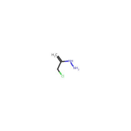 C=C(CCl)NN